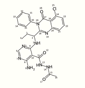 CCC(Nc1ncnc(N)c1C(=O)NNC(C)=O)c1nc2cccc(Cl)c2c(=O)n1-c1ccccc1